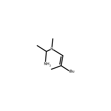 CCC(C)/C(C)=C/N(C)C(C)N